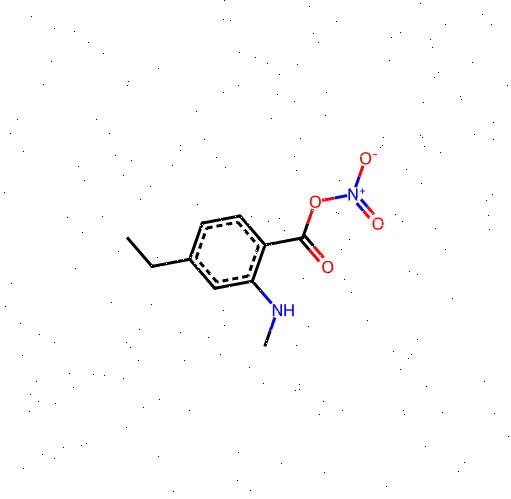 CCc1ccc(C(=O)O[N+](=O)[O-])c(NC)c1